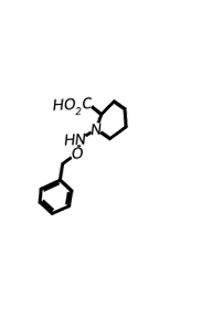 O=C(O)C1CCCCN1NOCc1ccccc1